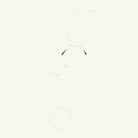 NC(=O)[C@H]1C[C@H](CNC(=O)OCc2ccccc2)[C@H](O)C1